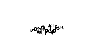 COCCn1c(Cc2ccc(-c3cccc(NCc4ccc(C#N)cc4OC)n3)cc2F)nc2ccc(C(=O)OC)cc21